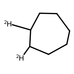 [2H]C1CCCCCC1[2H]